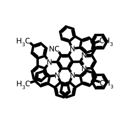 Cc1ccc2c(c1)c1ccccc1n2-c1c(C#N)c(-n2c3ccccc3c3cc(C)ccc32)c(-n2c3ccccc3c3cc(C)ccc32)c(-n2c3ccccc3c3cc(C)ccc32)c1-c1nc(-c2ccccc2)cc(-c2ccccc2)n1